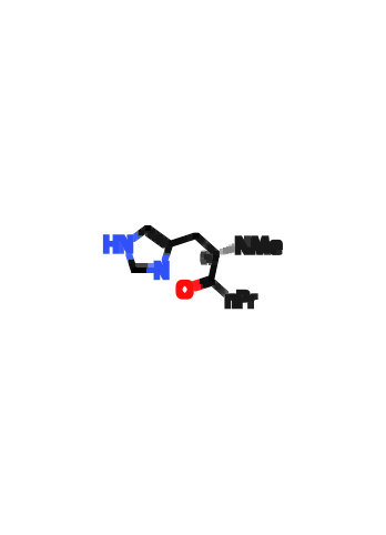 CCCC(=O)[C@H](Cc1c[nH]cn1)NC